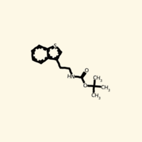 CC(C)(C)OC(=O)NCCc1csc2ccccc12